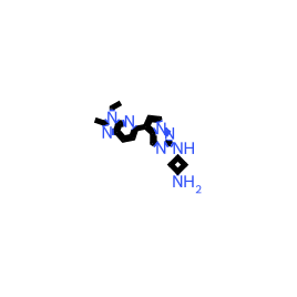 CCn1c(C)nc2ccc(-c3ccn4nc(N[C@H]5C[C@H](N)C5)ncc34)nc21